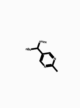 CCCCCCC(CCCC)c1cnc(C)nc1